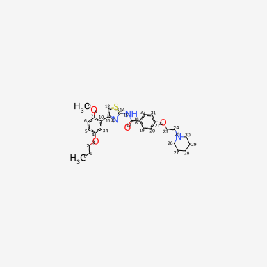 CCCOc1ccc(OC)c(-c2csc(NC(=O)c3ccc(OCCN4CCCCC4)cc3)n2)c1